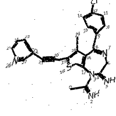 CC(=N)N1C(=N)CN=C(c2ccc(Cl)cc2)c2c1sc(C#Cc1cccnc1)c2C